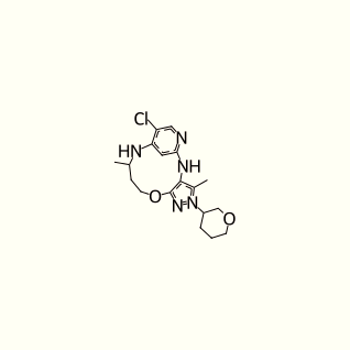 Cc1c2c(nn1C1CCCOC1)OCCC(C)Nc1cc(ncc1Cl)N2